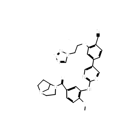 COc1ccc(C(=O)N2CCN3CCC2C3)cc1Nc1ncc(-c2ccc(C#N)c(O[C@@H](C)Cn3cnnn3)c2)cn1